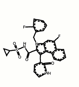 O=C(NS(=O)(=O)C1CC1)c1c(-c2ccc[nH]c2=O)c2c3ccccc3c(F)cc2n1Cc1ccccc1F